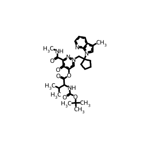 CNC(=O)c1nn(CC2(n3cc(C)c4cccnc43)CCCC2)cc(OC(=O)C(NC(=O)OC(C)(C)C)C(C)C)c1=O